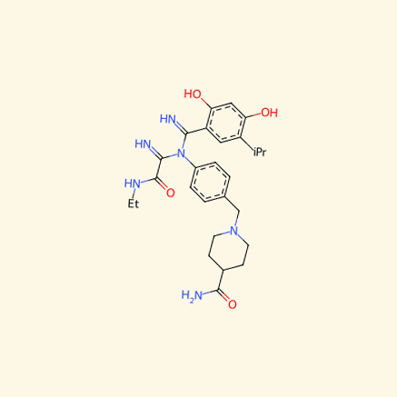 CCNC(=O)C(=N)N(C(=N)c1cc(C(C)C)c(O)cc1O)c1ccc(CN2CCC(C(N)=O)CC2)cc1